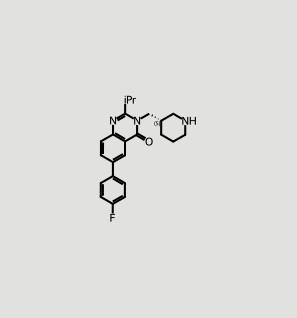 CC(C)c1nc2ccc(-c3ccc(F)cc3)cc2c(=O)n1C[C@H]1CCCNC1